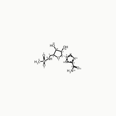 CS(=O)(=O)NCC1O[C@@H](n2cnc(C(N)=O)n2)[C@H](O)[C@@H]1O